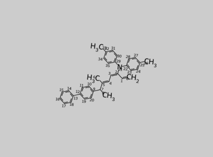 C=C/C(=C\C=C(/C)C(C)c1ccc(-c2ccccc2)cc1)N(c1ccc(C)cc1)c1ccc(C)cc1